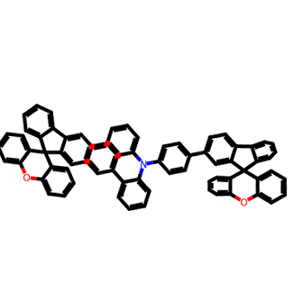 c1ccc(-c2ccccc2N(c2ccc(-c3ccc4c(c3)C3(c5ccccc5Oc5ccccc53)c3ccccc3-4)cc2)c2cccc(-c3ccc4c(c3)-c3ccccc3C43c4ccccc4Oc4ccccc43)c2)cc1